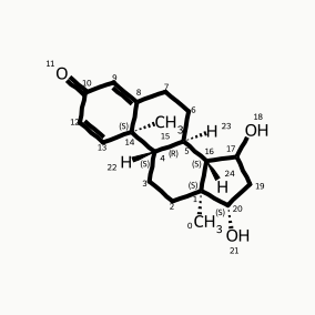 C[C@]12CC[C@H]3[C@@H](CCC4=CC(=O)C=C[C@@]43C)[C@@H]1C(O)C[C@@H]2O